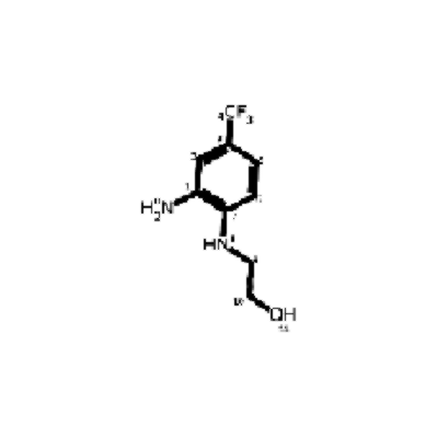 Nc1cc(C(F)(F)F)ccc1NCCO